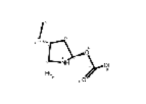 CO[C@H]1CN[C@H](OC(=O)O)C1.Cl